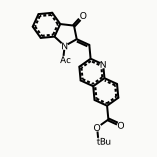 CC(=O)N1/C(=C\c2ccc3cc(C(=O)OC(C)(C)C)ccc3n2)C(=O)c2ccccc21